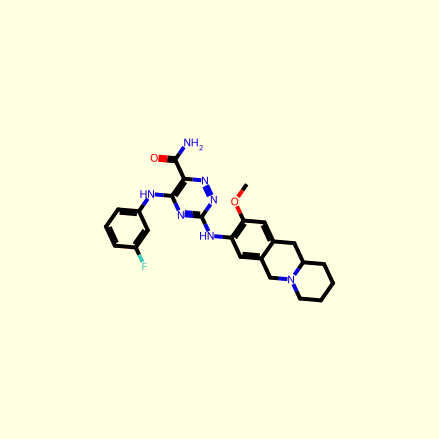 COc1cc2c(cc1Nc1nnc(C(N)=O)c(Nc3cccc(F)c3)n1)CN1CCCCC1C2